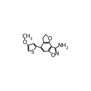 COc1csc(-c2cc3onc(N)c3c3c2CCO3)c1